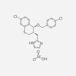 Clc1ccc(CO[C@@H]2c3ccc(Cl)cc3SC[C@@H]2Cc2ncc[nH]2)cc1.O=[N+]([O-])O